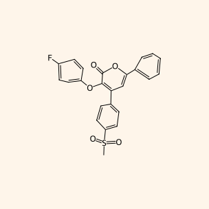 CS(=O)(=O)c1ccc(-c2cc(-c3ccccc3)oc(=O)c2Oc2ccc(F)cc2)cc1